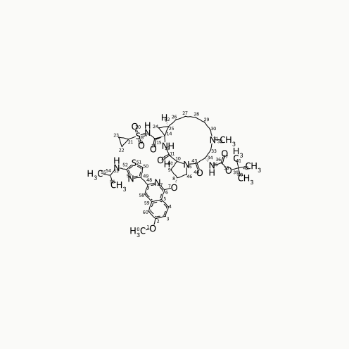 COc1ccc2c(O[C@@H]3C[C@H]4C(=O)N[C@]5(C(=O)NS(=O)(=O)C6CC6)C[C@H]5CCCCCN(C)C[C@H](NC(=O)OC(C)(C)C)C(=O)N4C3)nc(-c3csc(NC(C)C)n3)cc2c1